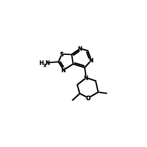 CC1CN(c2ncnc3sc(N)nc23)CC(C)O1